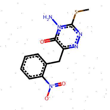 CSc1nnc(Cc2ccccc2[N+](=O)[O-])c(=O)n1N